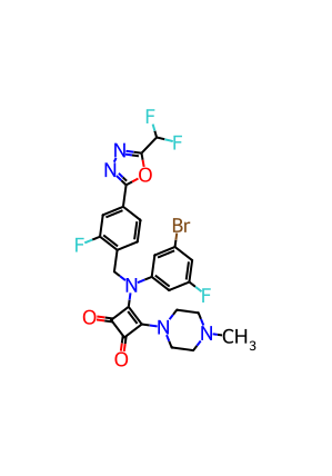 CN1CCN(c2c(N(Cc3ccc(-c4nnc(C(F)F)o4)cc3F)c3cc(F)cc(Br)c3)c(=O)c2=O)CC1